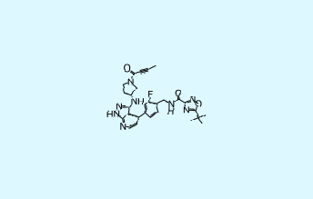 CC#CC(=O)N1CC[C@@H](Nc2n[nH]c3nccc(-c4ccc(CNC(=O)c5noc(C(C)(C)C)n5)c(F)c4)c23)C1